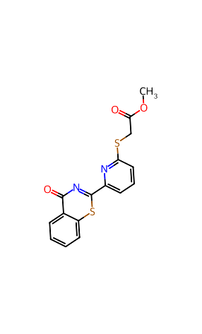 COC(=O)CSc1cccc(-c2nc(=O)c3ccccc3s2)n1